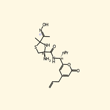 C=CCc1cc([C@@H](CCC)NC(=O)[C@]2(N)CSC(C)(/C(C)=N/O)N2)oc(=O)c1